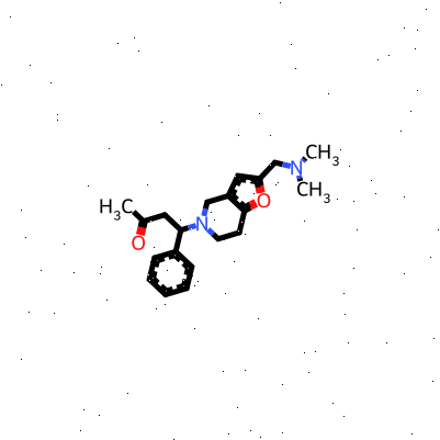 CC(=O)CC(c1ccccc1)N1CCc2oc(CN(C)C)cc2C1